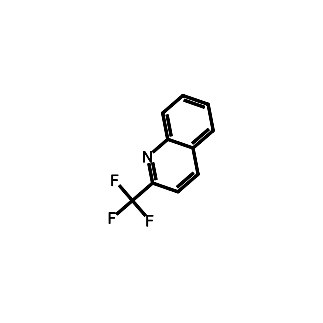 FC(F)(F)c1ccc2ccccc2n1